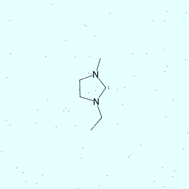 CCN1[C]N(C)CC1